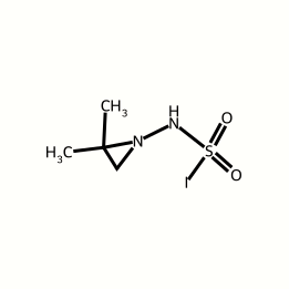 CC1(C)CN1NS(=O)(=O)I